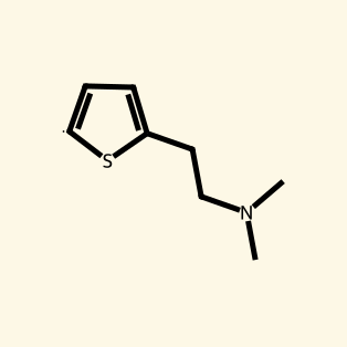 CN(C)CCc1cc[c]s1